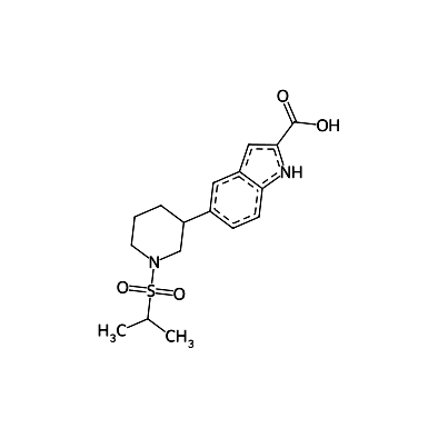 CC(C)S(=O)(=O)N1CCCC(c2ccc3[nH]c(C(=O)O)cc3c2)C1